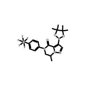 CC1CN(c2ccc(S(F)(F)(F)(F)F)cc2)C(=O)c2c(B3OC(C)(C)C(C)(C)O3)cnn21